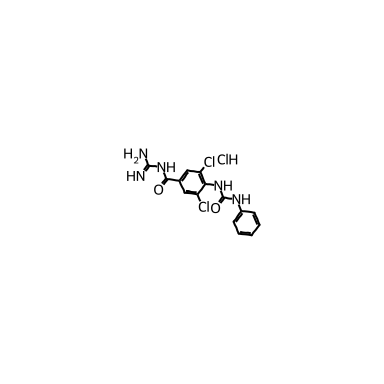 Cl.N=C(N)NC(=O)c1cc(Cl)c(NC(=O)Nc2ccccc2)c(Cl)c1